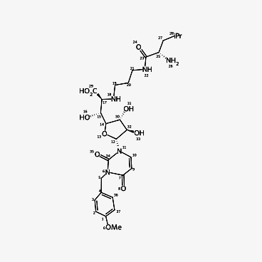 COc1ccc(Cn2c(=O)ccn([C@@H]3OC([C@H](O)[C@H](NCCCNC(=O)[C@@H](N)CC(C)C)C(=O)O)[C@H](O)[C@H]3O)c2=O)cc1